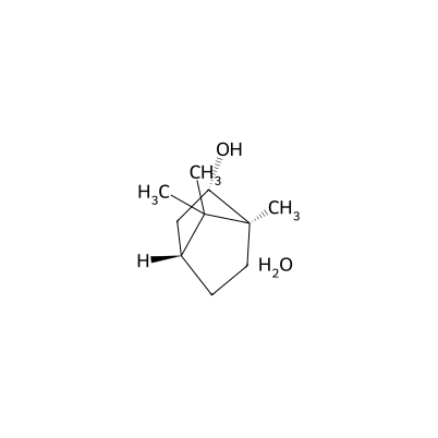 CC1(C)[C@@H]2CC[C@]1(C)[C@@H](O)C2.O